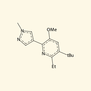 CCc1nc(-c2cnn(C)c2)c(OC)cc1C(C)(C)C